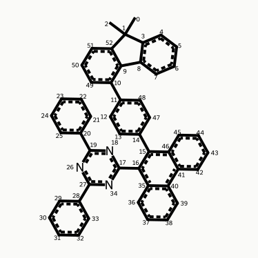 CC1(C)c2ccccc2-c2c(-c3ccc(-c4c(-c5nc(-c6ccccc6)nc(-c6ccccc6)n5)c5ccccc5c5ccccc45)cc3)cccc21